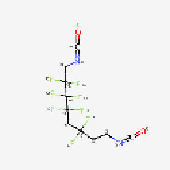 O=C=NCCC(F)(F)CC(F)(F)C(F)(F)C(F)(F)CN=C=O